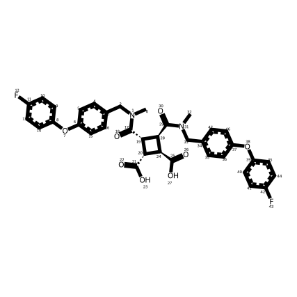 CN(Cc1ccc(Oc2ccc(F)cc2)cc1)C(=O)[C@H]1[C@@H](C(=O)O)[C@H](C(=O)O)[C@@H]1C(=O)N(C)Cc1ccc(Oc2ccc(F)cc2)cc1